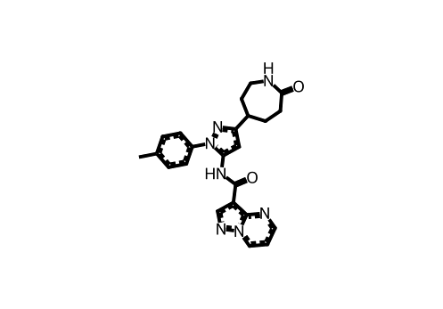 Cc1ccc(-n2nc(C3CCNC(=O)CC3)cc2NC(=O)c2cnn3cccnc23)cc1